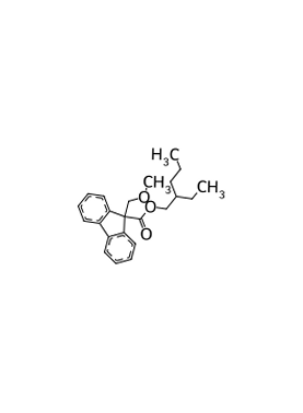 CCCC(CC)COC(=O)C1(COC)c2ccccc2-c2ccccc21